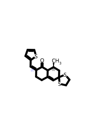 C[C@H]1CC2(C=C3CC/C(=C/c4cccs4)C(=O)C31)SCCS2